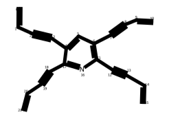 C=CC#Cc1cc(C#CC=C)c(C#CC=C)nc1C#CC=C